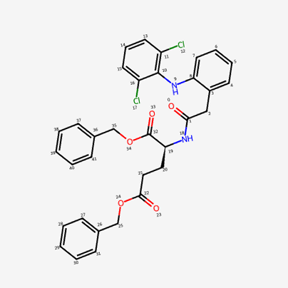 O=C(Cc1ccccc1Nc1c(Cl)cccc1Cl)N[C@@H](CCC(=O)OCc1ccccc1)C(=O)OCc1ccccc1